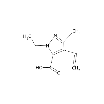 C=Cc1c(C)nn(CC)c1C(=O)O